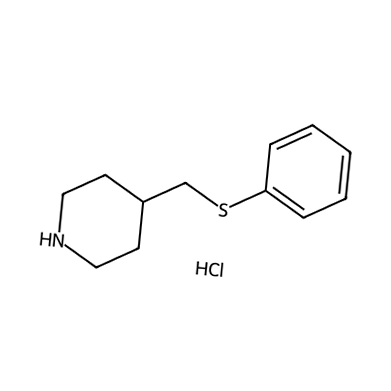 Cl.c1ccc(SCC2CCNCC2)cc1